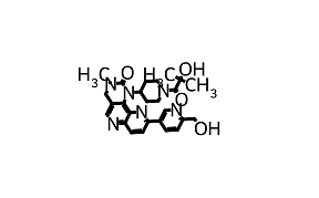 CN1Cc2cnc3ccc(-c4ccc(CO)nc4)nc3c2N(C2CCN(C(=O)C(C)(C)O)CC2)C1=O